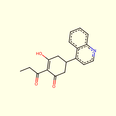 CCC(=O)C1=C(O)CC(c2ccnc3ccccc23)CC1=O